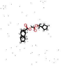 CC(C)(OC(=O)COC(=O)C1CC2CC1C1C3C=CC(C3)C21)C1CCCC1